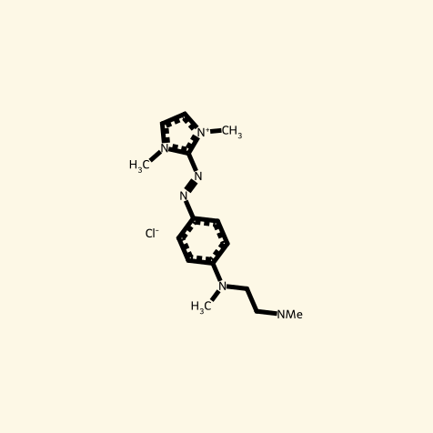 CNCCN(C)c1ccc(N=Nc2n(C)cc[n+]2C)cc1.[Cl-]